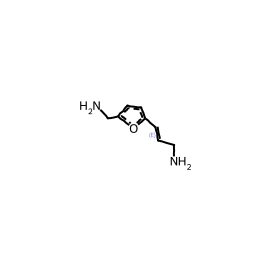 NC/C=C/c1ccc(CN)o1